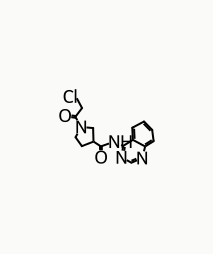 O=C(Nc1ncnc2ccccc12)C1CCN(C(=O)CCl)C1